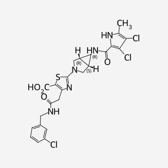 Cc1[nH]c(C(=O)N[C@@H]2[C@@H]3CN(c4nc(CC(=O)NCc5cccc(Cl)c5)c(C(=O)O)s4)C[C@@H]32)c(Cl)c1Cl